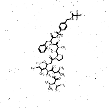 CC[C@H](C)[C@@H]([C@H](CC(=O)N1CCC[C@H]1[C@H](OC)[C@@H](C)C(=O)N[C@@H](Cc1ccccc1)C(=O)NS(=O)(=O)c1ccc(CNC(=O)C(F)(F)F)cc1)OC)N(C)C(=O)[C@@H](NC(=O)[C@H](C(C)C)N(C)C)C(C)C